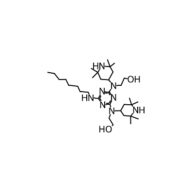 CCCCCCCCNc1nc(N(CCO)C2CC(C)(C)NC(C)(C)C2)nc(N(CCO)C2CC(C)(C)NC(C)(C)C2)n1